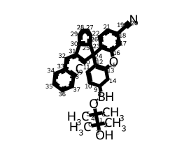 CC(C)(O)C(C)(C)OBC1C=CC2=C(C1)Oc1cc(C#N)ccc1C21c2ccccc2-c2cc3ccccc3cc21